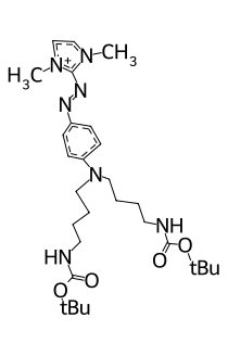 Cn1cc[n+](C)c1/N=N/c1ccc(N(CCCCNC(=O)OC(C)(C)C)CCCCNC(=O)OC(C)(C)C)cc1